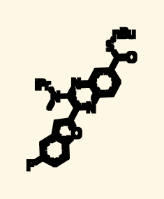 CCCCSC(=O)c1ccc2nc(-c3cc4cc(F)ccc4o3)c(N(C)C(C)C)nc2c1